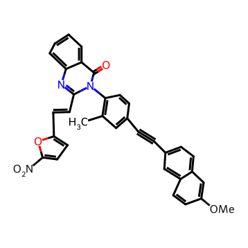 COc1ccc2cc(C#Cc3ccc(-n4c(C=Cc5ccc([N+](=O)[O-])o5)nc5ccccc5c4=O)c(C)c3)ccc2c1